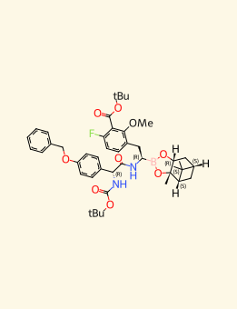 COc1c(C[C@H](NC(=O)[C@H](NC(=O)OC(C)(C)C)c2ccc(OCc3ccccc3)cc2)B2O[C@@H]3C[C@@H]4C[C@@H](C4(C)C)[C@]3(C)O2)ccc(F)c1C(=O)OC(C)(C)C